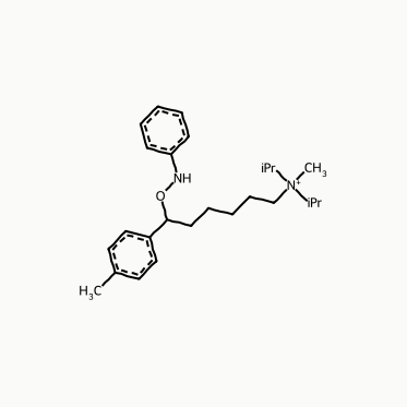 Cc1ccc(C(CCCCC[N+](C)(C(C)C)C(C)C)ONc2ccccc2)cc1